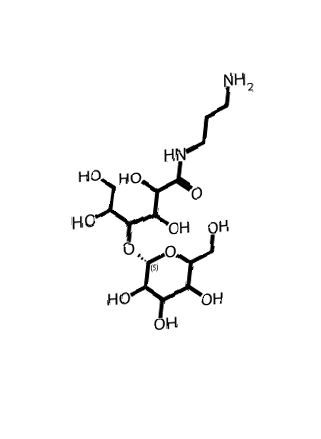 NCCCNC(=O)C(O)C(O)C(O[C@@H]1OC(CO)C(O)C(O)C1O)C(O)CO